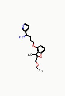 CCOCc1oc2cccc(OCCCC(N)c3cccnc3)c2c1C